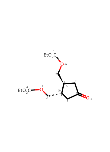 CCOC(=O)OC[C@H]1CC(=O)C[C@@H]1COC(=O)OCC